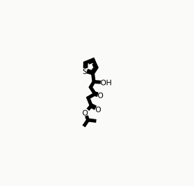 CC(C)OC(=O)CC(=O)CC(O)c1cccs1